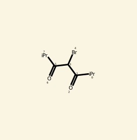 CC(C)C(=O)C(Br)C(=O)C(C)C